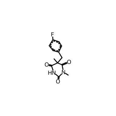 CN1C(=O)NC(=O)C(C)(Cc2ccc(F)cc2)C1=O